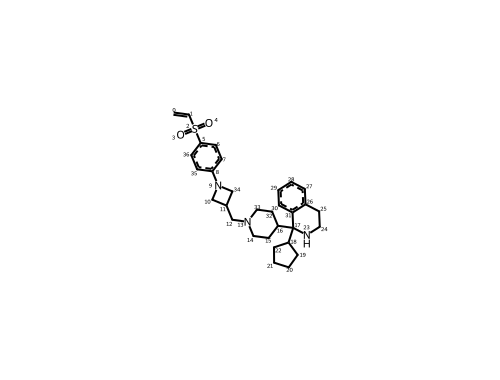 C=CS(=O)(=O)c1ccc(N2CC(CN3CCC(C4(C5CCCC5)NCCc5ccccc54)CC3)C2)cc1